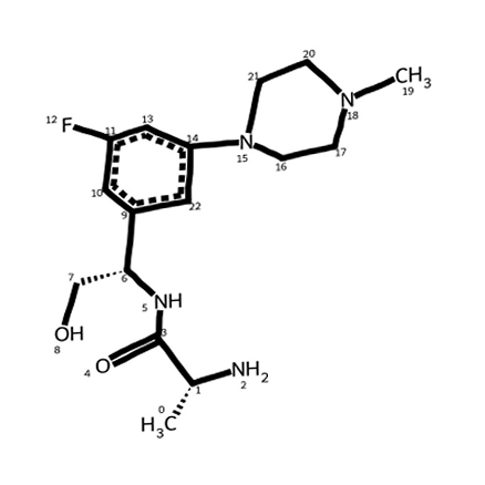 C[C@@H](N)C(=O)N[C@H](CO)c1cc(F)cc(N2CCN(C)CC2)c1